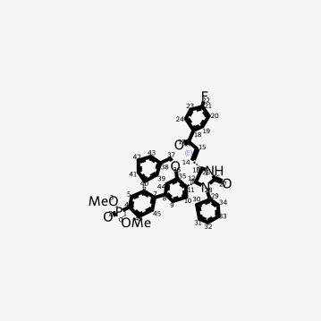 COP(=O)(OC)c1ccc(-c2ccc([C@@H]3[C@H](/C=C/C(=O)c4ccc(F)cc4)NC(=O)N3c3ccccc3)c(OCc3ccccc3)c2)cc1